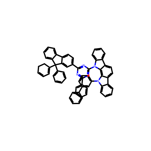 C1=CCCC(C2(c3ccccc3)c3ccccc3-c3ccc(-c4nc(-c5ccccc5)nc(-n5c6ccccc6c6ccc7c8ccccc8n(-c8cccc(-c9ccccc9)c8)c7c65)n4)cc32)=C1